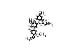 COc1cc2c(cc1OC)-c1cc(N(CCCN)c3c(C)cc(C)cc3C)nc(=O)n1CC2